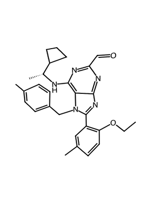 CCOc1ccc(C)cc1-c1nc2nc(C=O)nc(N[C@H](C)C3CCC3)c2n1Cc1ccc(C)cc1